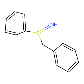 N=S(Cc1ccccc1)c1ccccc1